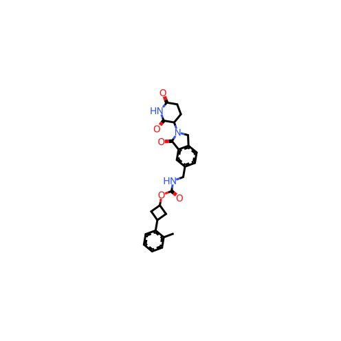 Cc1ccccc1C1CC(OC(=O)NCc2ccc3c(c2)C(=O)N(C2CCC(=O)NC2=O)C3)C1